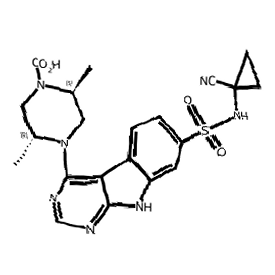 C[C@@H]1CN(C(=O)O)[C@@H](C)CN1c1ncnc2[nH]c3cc(S(=O)(=O)NC4(C#N)CC4)ccc3c12